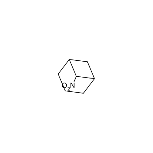 O=[N+]([O-])C1C2CCCC1C2